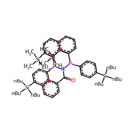 CCCC[Si](CCCC)(CCCC)c1ccc(P(c2ccccc2[Si](C)(C)C)N(C(=O)c2ccccc2)P(c2ccc([Si](CCCC)(CCCC)CCCC)cc2)c2ccccc2[Si](C)(C)C)cc1